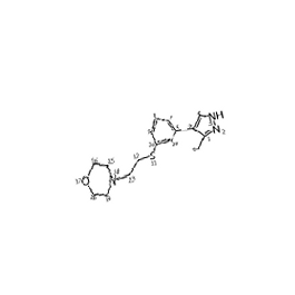 Cc1n[nH]cc1-c1cc[c]c(SCCN2CCOCC2)c1